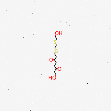 O=C(CCO)CCC(=O)CCSCCSCCO